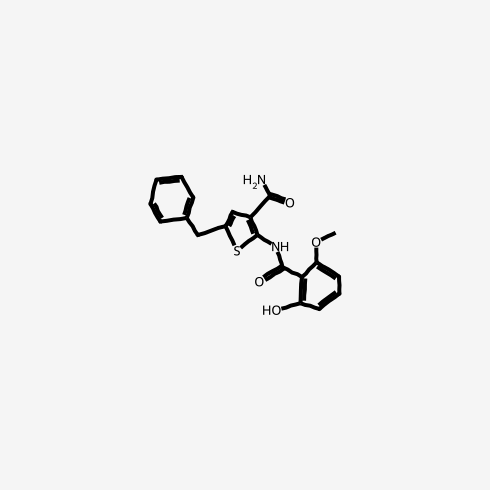 COc1cccc(O)c1C(=O)Nc1sc(Cc2ccccc2)cc1C(N)=O